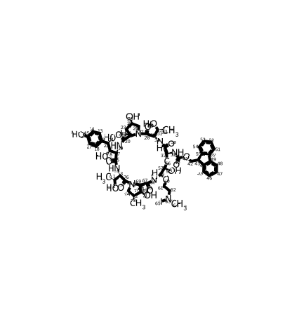 C[C@@H](O)[C@@H]1NC(=O)[C@H]([C@H](O)[C@@H](O)c2ccc(O)cc2)NC(=O)[C@@H]2C[C@@H](O)CN2C(=O)[C@H]([C@@H](C)O)NC(=O)[C@@H](NC(=O)OCC2c3ccccc3-c3ccccc32)C[C@@H](O)[C@@H](OCCN(C)I)NC(=O)[C@@H]2[C@@H](O)[C@@H](C)CN2C1=O